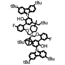 CC(C)(C)CC(C)(C)c1cc(-c2cc(F)ccc2OC[Si](COc2ccc(F)cc2-c2cc(C(C)(C)CC(C)(C)C)cc(-n3c4ccc(C(C)(C)C)cc4c4cc(C(C)(C)C)ccc43)c2O)(C2CCCCC2)C2CCCCC2)c(O)c(-n2c3ccc(C(C)(C)C)cc3c3cc(C(C)(C)C)ccc32)c1